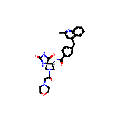 Cc1cc(Cc2ccc(C(=O)N[C@@H]3CN(C(=O)CN4CCOCC4)C[C@]34NC(=O)NC4=O)cc2)c2ccccc2n1